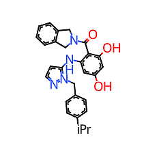 CC(C)c1ccc(Cn2nccc2Nc2cc(O)cc(O)c2C(=O)N2Cc3ccccc3C2)cc1